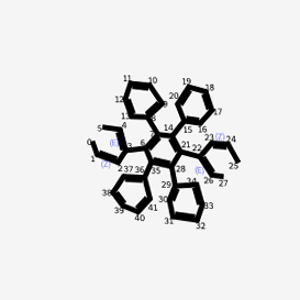 C/C=C\C(=C/C)c1c(-c2ccccc2)c(-c2ccccc2)c(C(/C=C\C)=C/C)c(-c2ccccc2)c1-c1ccccc1